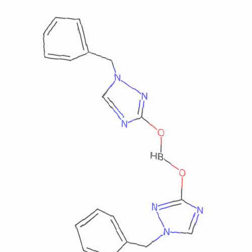 B(Oc1ncn(Cc2ccccc2)n1)Oc1ncn(Cc2ccccc2)n1